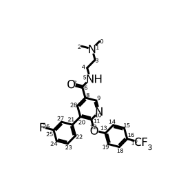 CN(C)CCNC(=O)c1cnc(Oc2ccc(C(F)(F)F)cc2)c(-c2cccc(F)c2)c1